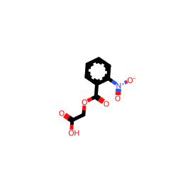 O=C(O)COC(=O)c1ccccc1[N+](=O)[O-]